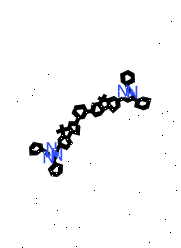 CC1(C)c2cc(-c3cccc(-c4ccc5c(c4)C(C)(C)c4cc(-c6nc(-c7ccccc7)nc(-c7ccccc7)n6)ccc4-5)c3)ccc2-c2ccc(-c3cc(-c4ccccc4)nc(-c4ccccc4)n3)cc21